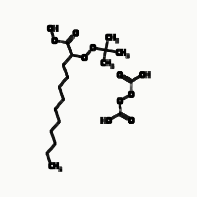 CCCCCCCCCCC(OOC(C)(C)C)C(=O)OO.O=C(O)OOC(=O)O